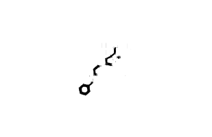 C[C@H](O)[C@@H]1C(=O)N2C(C(=O)O)=C(S/C=C\C(=O)NCc3ccccc3)C[C@H]12